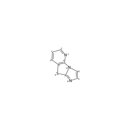 [c]1ccnc2c1sc1nccn12